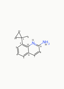 CC1(c2cccc3ccc(N)nc23)CC1